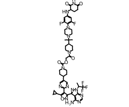 CC(n1nc(-c2noc(C3CC3)c2-c2ncc(C3CCN(C(=O)OCC(=O)N4CCC(C(C)(C)N5CCN(c6c(F)cc(NC7CCC(=O)NC7=O)cc6F)CC5)CC4)CC3)cn2)c2c(N)ncnc21)C(F)(F)F